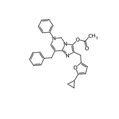 CC(=O)Oc1c(Cc2ccc(C3CC3)o2)nc2n1CN(c1ccccc1)C=C2Cc1ccccc1